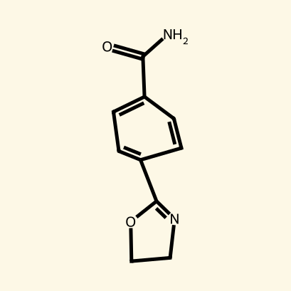 NC(=O)c1ccc(C2=NCCO2)cc1